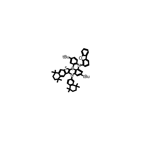 CC(C)(C)c1ccc2c(c1)B1c3sc4cc5c(cc4c3N(c3ccc4c(c3)C(C)(C)CCC4(C)C)c3cc(C(C)(C)C)cc(c31)N2c1cccc2c1oc1ccccc12)C(C)(C)CCC5(C)C